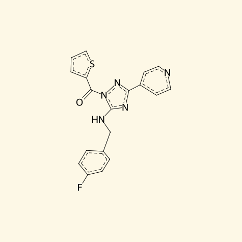 O=C(c1cccs1)n1nc(-c2ccncc2)nc1NCc1ccc(F)cc1